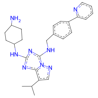 CC(C)c1cnn2c(NCc3ccc(-c4ccccn4)cc3)nc(NC3CCC(N)CC3)nc12